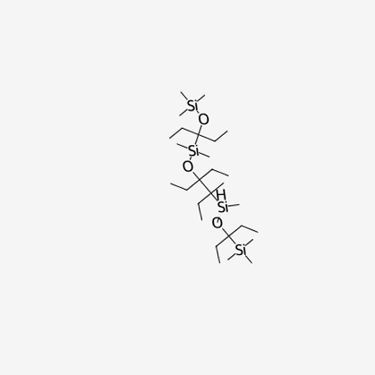 CCC(CC)(O[Si](C)(C)C(CC)(CC)O[Si](C)(C)C)C(C)(CC)[SiH](C)OC(CC)(CC)[Si](C)(C)C